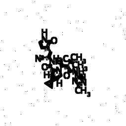 Cc1nnn(NC(=O)[C@H](C(=O)N2C[C@H]3[C@@H]([C@H]2C(=O)N[C@H](C#N)C[C@@H]2CCNC2=O)C32CC2)C(C)(C)C)n1